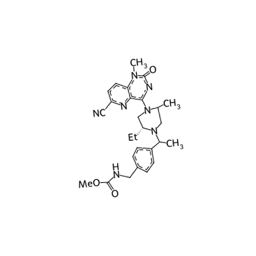 CC[C@@H]1CN(c2nc(=O)n(C)c3ccc(C#N)nc23)C(C)CN1C(C)c1ccc(CNC(=O)OC)cc1